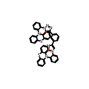 c1cc(-c2cn(-c3ccccc3N3c4ccccc4Sc4ccccc43)nn2)cc(-c2cn(-c3ccccc3N3c4ccccc4Sc4ccccc43)nn2)c1